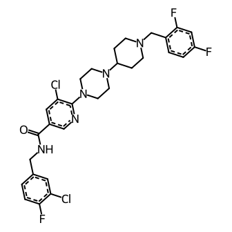 O=C(NCc1ccc(F)c(Cl)c1)c1cnc(N2CCN(C3CCN(Cc4ccc(F)cc4F)CC3)CC2)c(Cl)c1